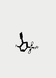 C#Cc1cc(S(=O)(=O)CCC)ccc1F